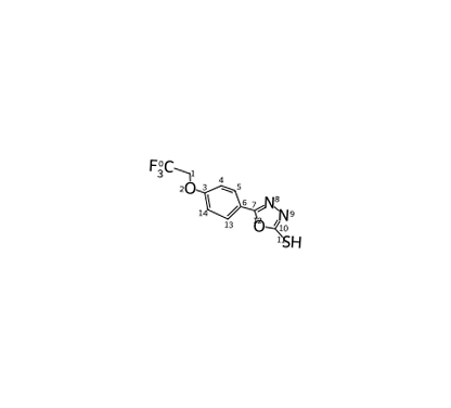 FC(F)(F)COc1ccc(-c2nnc(S)o2)cc1